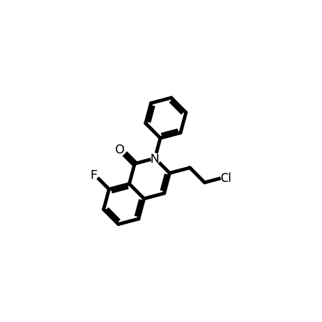 O=c1c2c(F)cccc2cc(CCCl)n1-c1ccccc1